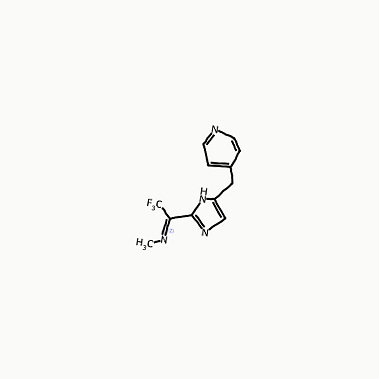 C/N=C(/c1ncc(Cc2ccncc2)[nH]1)C(F)(F)F